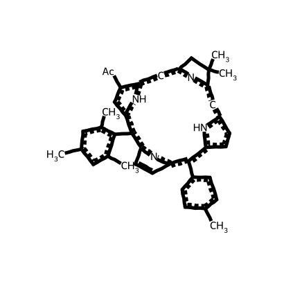 CC(=O)c1cc2[nH]c1cc1nc(cc3ccc([nH]3)c(-c3ccc(C)cc3)c3nc(c2-c2c(C)cc(C)cc2C)C=C3)C(C)(C)C1